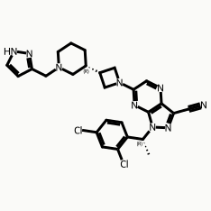 C[C@H](c1ccc(Cl)cc1Cl)n1nc(C#N)c2ncc(N3CC([C@H]4CCCN(Cc5cc[nH]n5)C4)C3)nc21